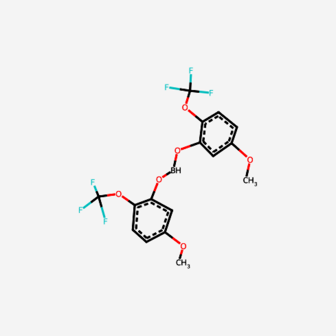 COc1ccc(OC(F)(F)F)c(OBOc2cc(OC)ccc2OC(F)(F)F)c1